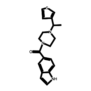 CC(c1ccsc1)N1CCN(C(=O)c2ccc3[nH]ccc3c2)CC1